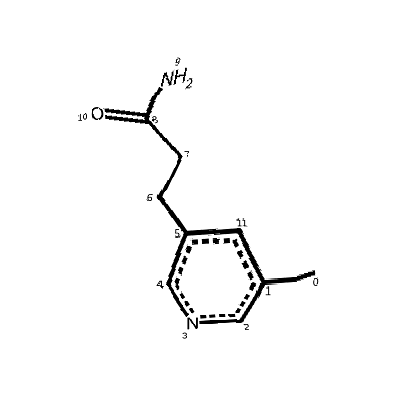 Cc1cncc(CCC(N)=O)c1